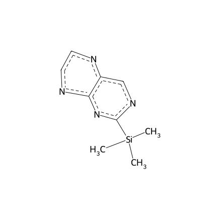 C[Si](C)(C)c1ncc2nccnc2n1